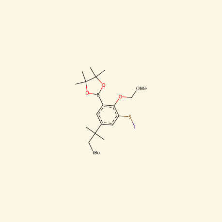 COCOc1c(SI)cc(C(C)(C)CC(C)(C)C)cc1B1OC(C)(C)C(C)(C)O1